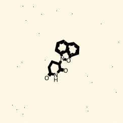 O=C1CCC(N2Oc3cccc4cccc2c34)C(=O)N1